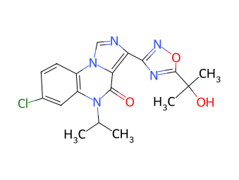 CC(C)n1c(=O)c2c(-c3noc(C(C)(C)O)n3)ncn2c2ccc(Cl)cc21